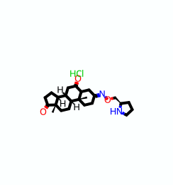 C[C@]12CCC(=NOC[C@H]3CCCN3)CC1C(=O)C[C@@H]1[C@@H]2CC[C@]2(C)C(=O)CC[C@@H]12.Cl